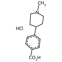 CN1CCC(c2ccc(C(=O)O)cc2)CC1.Cl